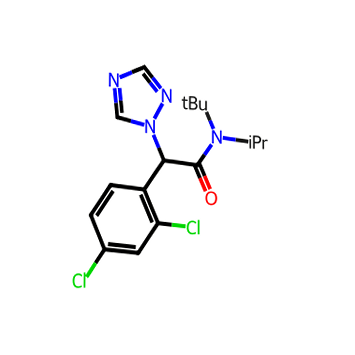 CC(C)N(C(=O)C(c1ccc(Cl)cc1Cl)n1cncn1)C(C)(C)C